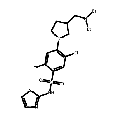 CCN(CC)CC1CCN(c2cc(F)c(S(=O)(=O)Nc3nccs3)cc2Cl)C1